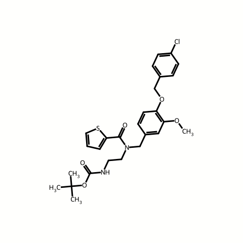 COc1cc(CN(CCNC(=O)OC(C)(C)C)C(=O)c2cccs2)ccc1OCc1ccc(Cl)cc1